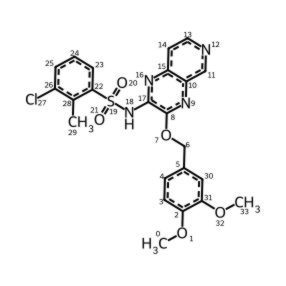 COc1ccc(COc2nc3cnccc3nc2NS(=O)(=O)c2cccc(Cl)c2C)cc1OC